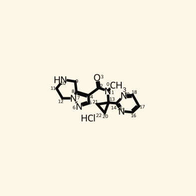 CN(C(=O)c1cnn2c1CNCC2)C1(c2ncccn2)CC1.Cl